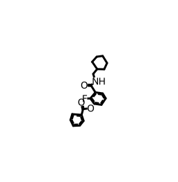 O=C(Oc1cccc(C(=O)NCC2CCCCC2)c1F)c1ccccc1